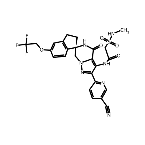 CNS(=O)(=O)CC(=O)Nc1c(-c2ccc(C#N)cn2)nn2c1C(=O)N[C@]1(CCc3cc(OCC(F)(F)F)ccc31)C2